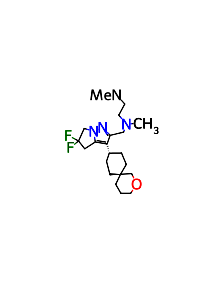 CNCCN(C)Cc1nn2c(c1[C@H]1CC[C@@]3(CCCOC3)CC1)CC(F)(F)C2